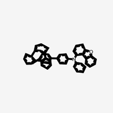 c1ccc(N(c2ccc(-c3ccc4c(c3)-c3c5cccc3-c3cccc-4c3-c3ccccc3-5)cc2)c2cccc3oc4ccccc4c23)cc1